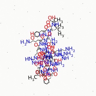 CC(C)C[C@H](NC(=O)[C@H](Cc1ccc(O)cc1)NC(=O)[C@H](CC(N)=O)NC(=O)[C@H](CCCCN)NC(=O)[C@H](CCCNC(=N)N)NC(=O)[C@@H](NC(=O)[C@H](CCCNC(=N)N)NC(=O)[C@H](CO)NC(=O)[C@H](CC(=O)O)NC(=O)[C@H](Cc1ccccc1)NC(=O)[C@H](CC(C)C)NC(=O)[C@H](CO)NC(=O)[C@H](CCC(N)=O)NC(=O)[C@H](CO)NC(=O)[C@H](CO)NC(=O)[C@@H](N)CCCCN)[C@@H](C)O)C(=O)N[C@@H](C)C(=O)O